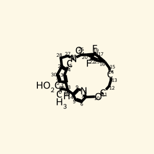 C[C@@H](C(=O)O)[C@@H]1c2ccc(nc2)OCCCCCc2cc(F)c(c(F)c2)C(=O)N2CCc3ccc1cc3C2